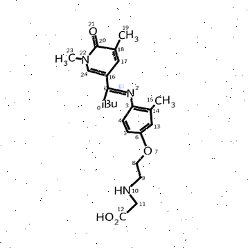 CCC(C)/C(=N\c1ccc(OCCNCC(=O)O)cc1C)c1cc(C)c(=O)n(C)c1